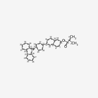 C=C(C)C(=O)Oc1ccc2cc(-c3ccc(-n4c5ccccc5c5ccccc54)cc3)ccc2c1